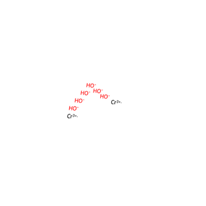 [Cr+3].[Cr+3].[OH-].[OH-].[OH-].[OH-].[OH-].[OH-]